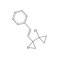 ClC1(C2(C=Cc3ccccc3)CO2)CC1